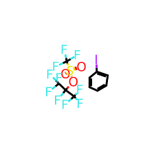 Ic1ccccc1.O=S(=O)(OC(F)(C(F)(F)F)C(F)(F)F)C(F)(F)F